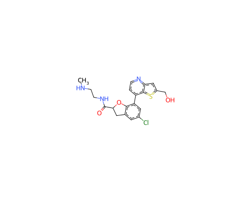 CNCCNC(=O)C1Cc2cc(Cl)cc(-c3ccnc4cc(CO)sc34)c2O1